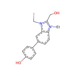 CC[n+]1c(CO)n(CI)c2cc(-c3ccc(O)cc3)ccc21